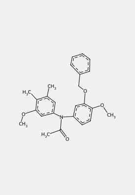 COc1ccc(N(C(C)=O)c2cc(C)c(C)c(OC)c2)cc1OCc1ccccc1